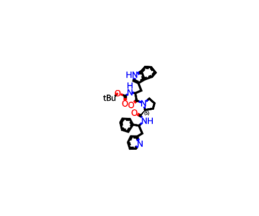 CC(C)(C)OC(=O)NC(Cc1c[nH]c2ccccc12)C(=O)N1CCC[C@H]1C(=O)NC(Cc1ccccn1)c1ccccc1